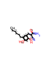 CCCCCCc1cc(/C=C(\C#N)C(N)=O)c(O)cc1O